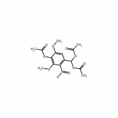 COc1cc(C(OC(C)=O)OC(C)=O)c([N+](=O)[O-])c(OC)c1OC(C)=O